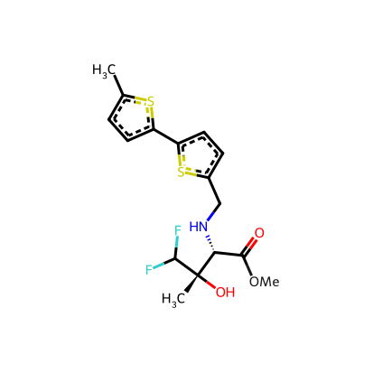 COC(=O)[C@@H](NCc1ccc(-c2ccc(C)s2)s1)[C@](C)(O)C(F)F